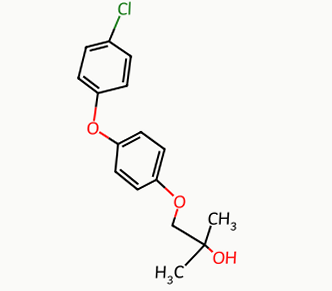 CC(C)(O)COc1ccc(Oc2ccc(Cl)cc2)cc1